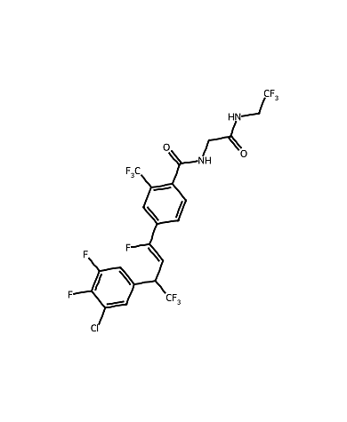 O=C(CNC(=O)c1ccc(/C(F)=C/C(c2cc(F)c(F)c(Cl)c2)C(F)(F)F)cc1C(F)(F)F)NCC(F)(F)F